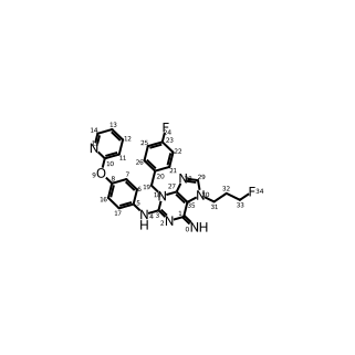 N=c1nc(Nc2ccc(Oc3ccccn3)cc2)n(Cc2ccc(F)cc2)c2ncn(CCCF)c12